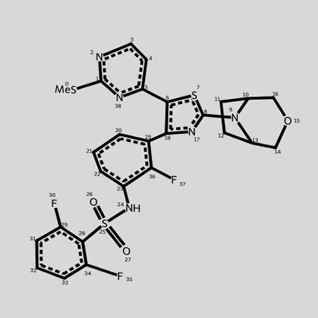 CSc1nccc(-c2sc(N3C4CCC3COC4)nc2-c2cccc(NS(=O)(=O)c3c(F)cccc3F)c2F)n1